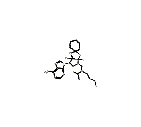 CC(C)N(CCCO)C[C@H]1C[C@@H](n2cnc3c(N)ncnc32)[C@@H]2OC3(CCCCC3)O[C@H]12